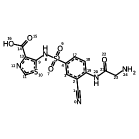 N#Cc1cc(S(=O)(=O)Nc2scnc2C(=O)O)ccc1NC(=O)CN